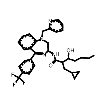 CCCCC(O)C(CC1CC1)C(=O)NC1CN(Cc2ccccn2)c2ccccc2C(c2ccc(C(F)(F)F)cc2)=N1